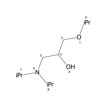 CC(C)OCC(O)CN(C(C)C)C(C)C